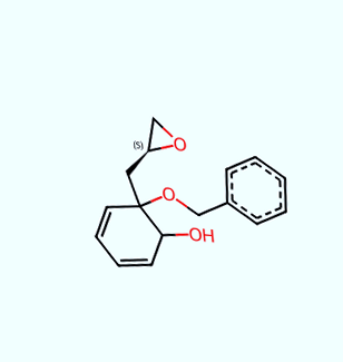 OC1C=CC=CC1(C[C@H]1CO1)OCc1ccccc1